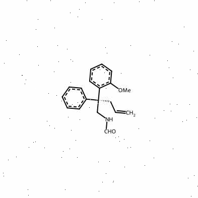 C=CC[C@](CNC=O)(c1ccccc1)c1ccccc1OC